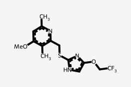 COc1cc(C)nc(CSc2nc(OCC(F)(F)F)c[nH]2)c1C